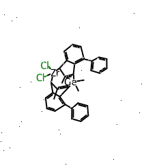 CC1=[C]2c3c(-c4ccccc4)cccc3[CH]1[Zr]([Cl])([Cl])[CH]1C(C)=[C](c3c(-c4ccccc4)cccc31)[Ge]2([CH3])[CH3]